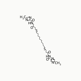 Cc1cnc(C(=O)NCC(=O)CCSCCCCCCCCCCSCCC(=O)CNC(=O)c2cnc(C)cn2)cn1